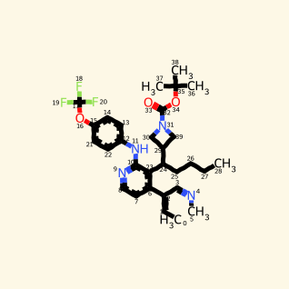 C/C=C(\C=N/C)c1ccnc(Nc2ccc(OC(F)(F)F)cc2)c1C(CCCC)C1CN(C(=O)OC(C)(C)C)C1